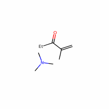 C=C(C)C(=O)CC.CN(C)C